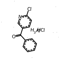 Cl.O=C(c1ccccc1)c1ccc(Cl)nc1.[AlH3]